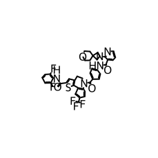 O=C(Nc1c(F)cccc1F)c1cc2c(s1)-c1cc(C(F)(F)F)ccc1N(C(=O)c1ccc(NC(=O)c3cccnc3N3CC4(CCOCC4)C3)cc1)CC2